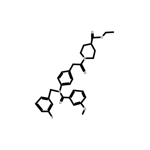 CCOC(=O)C1CCN(C(=O)Cc2ccc(N(Cc3cccc(F)c3)C(=O)c3cccc(OC)c3)cc2)CC1